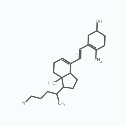 CC1=C(/C=C/C2=CCCC3(C)C2CCC3C(C)CCCC(C)C)CC(O)CC1